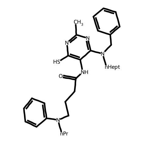 CCCCCCCN(Cc1ccccc1)c1nc(C)nc(S)c1NC(=O)CCCN(CCC)c1ccccc1